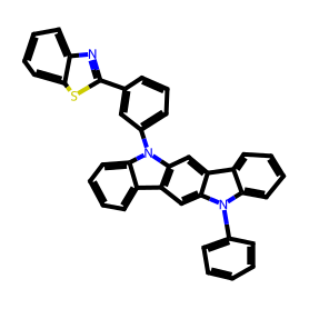 c1ccc(-n2c3ccccc3c3cc4c(cc32)c2ccccc2n4-c2cccc(-c3nc4ccccc4s3)c2)cc1